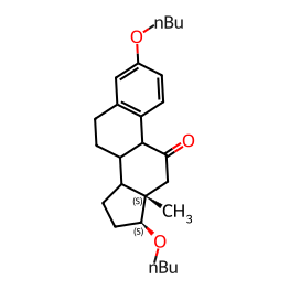 CCCCOc1ccc2c(c1)CCC1C2C(=O)C[C@@]2(C)C1CC[C@@H]2OCCCC